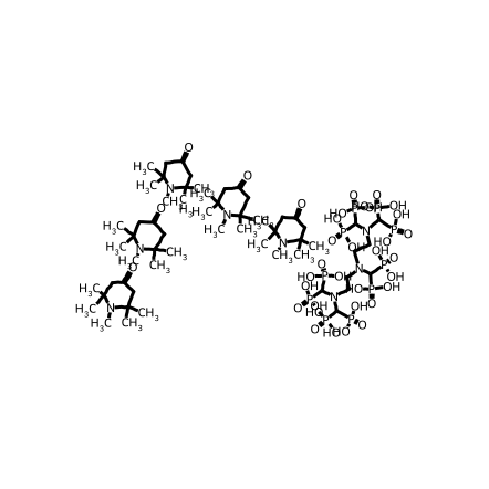 CN1C(C)(C)CC(=O)CC1(C)C.CN1C(C)(C)CC(=O)CC1(C)C.CN1C(C)(C)CC(=O)CC1(C)C.CN1C(C)(C)CC(=O)CC1(C)C.CN1C(C)(C)CC(=O)CC1(C)C.O=P(O)(O)C(N(CCN(C(P(=O)(O)O)P(=O)(O)O)C(P(=O)(O)O)P(=O)(O)O)CCN(C(P(=O)(O)O)P(=O)(O)O)C(P(=O)(O)O)P(=O)(O)O)P(=O)(O)O